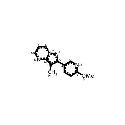 COc1ccc(-c2nn3cccnc3c2C)cn1